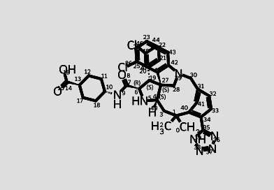 CC1(C)C[C@@H]2N[C@@H](C(=O)N[C@H]3CC[C@H](C(=O)O)CC3)[C@H](c3ccccc3Cl)[C@]23CN(Cc2ccc(-c4nnn[nH]4)c1c2)c1ccc(Cl)cc13